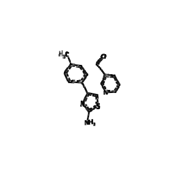 Cc1ccc(-c2csc(N)n2)cc1.O=Cc1cccnc1